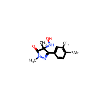 CSc1ccc(C2=NN(C)C(=O)C2(C)NO)cc1C(F)(F)F